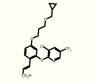 O=C(O)C=Cc1ccc(OCCCOCC2CC2)cc1Oc1ncc(C(F)(F)F)cc1Cl